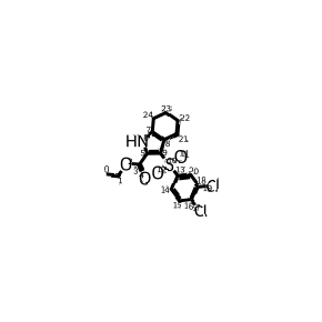 CCOC(=O)c1[nH]c2c(c1S(=O)(=O)c1ccc(Cl)c(Cl)c1)CCCC2